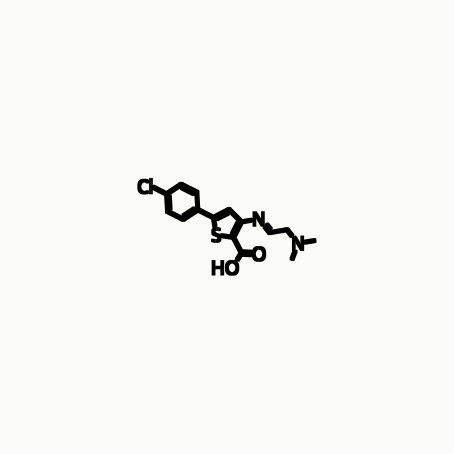 CN(C)CC=Nc1cc(-c2ccc(Cl)cc2)sc1C(=O)O